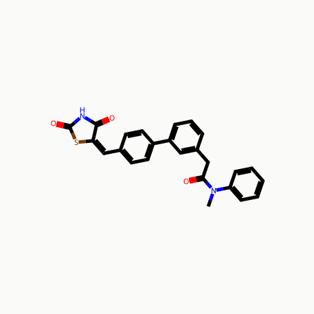 CN(C(=O)Cc1cccc(-c2ccc(C=C3SC(=O)NC3=O)cc2)c1)c1ccccc1